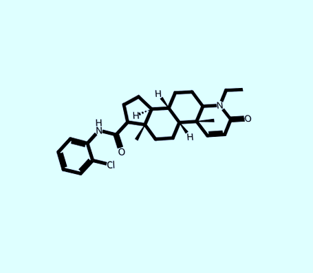 CCN1C(=O)C=C[C@@]2(C)C1CC[C@@H]1[C@H]2CC[C@]2(C)C(C(=O)Nc3ccccc3Cl)CC[C@@H]12